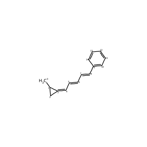 CC1CC1=CC=CC=Cc1ccccc1